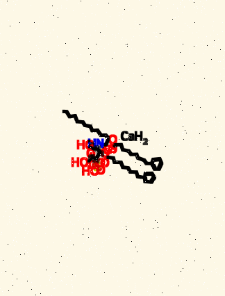 CCCCCCCCCCCCC(OC(=O)CCCCCCCCc1ccccc1)C(=O)N[C@H]1C(O)O[C@H](CO)[C@@H](OS(=O)(=O)O)[C@@H]1OC(=O)CCCCCCCCc1ccccc1.[CaH2]